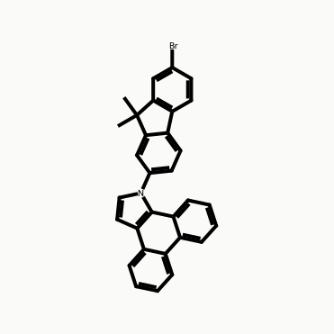 CC1(C)c2cc(Br)ccc2-c2ccc(-n3ccc4c5ccccc5c5ccccc5c43)cc21